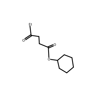 CCC(=O)CCC(=O)OC1CCCCC1